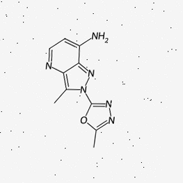 Cc1nnc(-n2nc3c(N)ccnc3c2C)o1